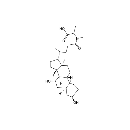 CC(CCC(=O)N(C)C(C)C(=O)O)[C@H]1CC[C@H]2[C@@H]3[C@@H](O)C[C@@H]4C[C@H](O)CC[C@]4(C)[C@H]3CC[C@]12C